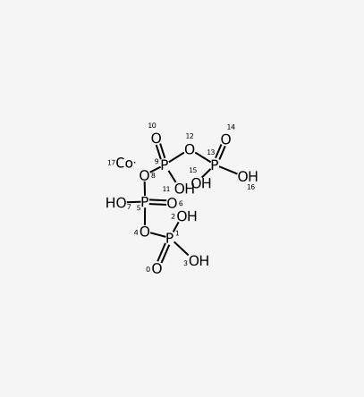 O=P(O)(O)OP(=O)(O)OP(=O)(O)OP(=O)(O)O.[Co]